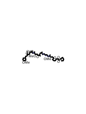 COC1CCC(CCC(CCC(C)/C=C(\C)C(CC(=O)C(C)CC(C)/C=C/C=C/C=C(\C)C(CC2CCCC(C(=O)C(=O)N3CCCCC3)O2)OC)OC)OC=O)CC1